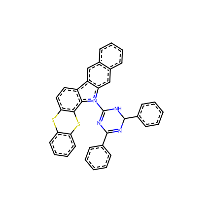 c1ccc(C2=NC(c3ccccc3)NC(n3c4cc5ccccc5cc4c4ccc5c(c43)Sc3ccccc3S5)=N2)cc1